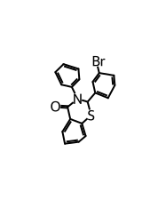 O=C1c2ccccc2SC(c2cccc(Br)c2)N1c1ccccc1